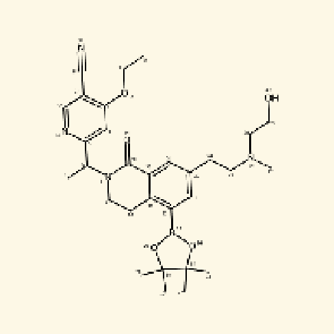 CCOc1cc(C(C)N2CCc3c(B4OC(C)(C)C(C)(C)O4)cc(CCN(C)CCO)cc3C2=O)ncc1C#N